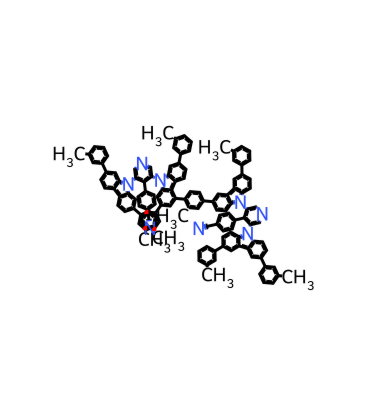 Cc1cccc(-c2ccc3c(c2)c2cc(-c4cccc(C)c4)ccc2n3-c2cncc(-n3c4ccc(-c5cccc(C)c5)cc4c4cc(-c5ccc(-c6cc(-c7cccc(C)c7)cc7c6c6ccc(-c8cccc(C)c8)cc6n7-c6cncc(-n7c8cc(-c9cccc(C)c9)ccc8c8ccc(-c9cccc(C)c9)cc87)c6-c6ccc(C#N)cc6)c(C)c5)ccc43)c2-c2ccc(C#N)cc2)c1